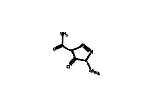 CCCCCN1N=CC(C(N)=O)C1=O